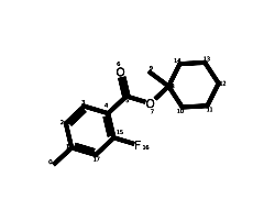 Cc1ccc(C(=O)OC2(C)CCCCC2)c(F)c1